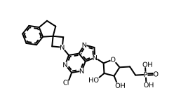 O=P(O)(O)CCC1OC(n2cnc3c(N4CC5(CCc6ccccc65)C4)nc(Cl)nc32)C(O)C1O